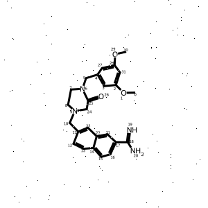 COc1cc(CN2CCN(Cc3ccc4ccc(C(=N)N)cc4c3)CC2=O)cc(OC)c1